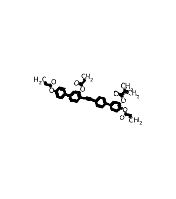 C=CC(=O)Oc1ccc(-c2ccc(C#Cc3ccc(-c4ccc(OC(=O)C=C)c(OC(=O)C(=C)C)c4)cc3)c(OC(=O)C=C)c2)cc1